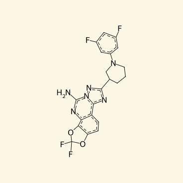 Nc1nc2c3c(ccc2c2nc(C4CCCN(c5cc(F)cc(F)c5)C4)nn12)OC(F)(F)O3